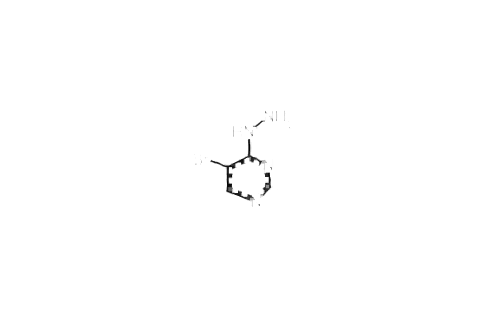 NNc1ncncc1Br